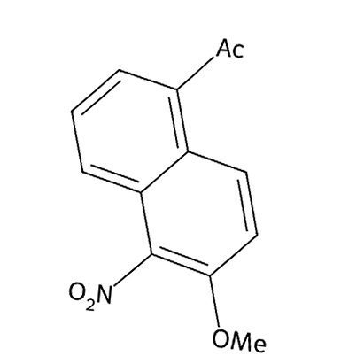 COc1ccc2c(C(C)=O)cccc2c1[N+](=O)[O-]